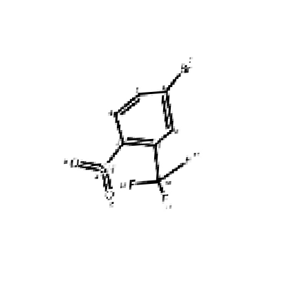 O=[SH](=O)c1ccc(Br)cc1C(F)(F)F